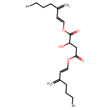 C=C(C=COC(=O)CC(O)C(=O)OC=CC(=C)CCCC(C)C)CCCC(C)C